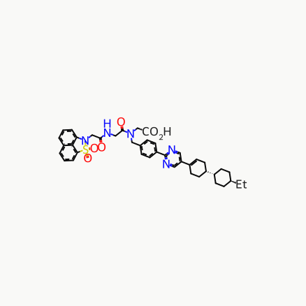 CC[C@H]1CC[C@H](C2CC=C(c3cnc(-c4ccc(CN(CC(=O)O)C(=O)CNC(=O)CN5c6cccc7cccc(c67)S5(=O)=O)cc4)nc3)CC2)CC1